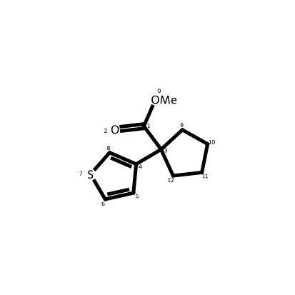 COC(=O)C1(c2ccsc2)CCCC1